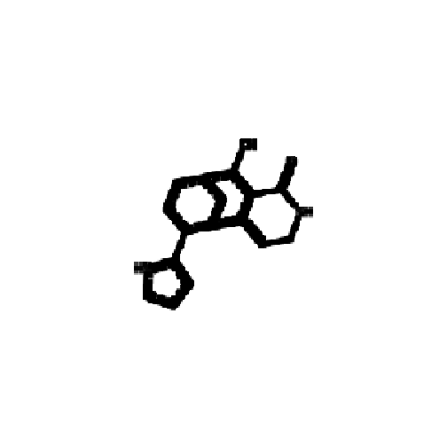 N#Cc1c2c(c3cc1ccc3-c1ccc[nH]1)=CCNC2=O